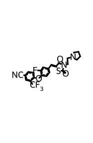 N#Cc1ccc(Oc2ccc(/C=C3\SC(=O)N(CCN4CCCC4)C3=O)cc2F)c(C(F)(F)F)c1